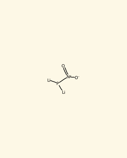 [Li][P]([Li])[N+](=O)[O-]